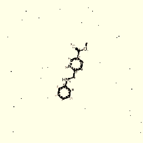 COC(=O)c1ccc(CNc2ccccc2)nc1